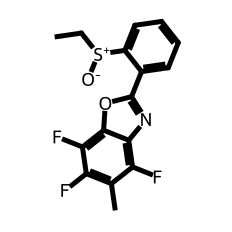 CC[S+]([O-])c1ccccc1-c1nc2c(F)c(C)c(F)c(F)c2o1